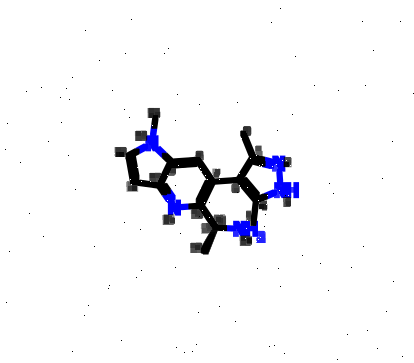 Cc1n[nH]c(C)c1-c1cc2c(ccn2C)nc1[C@H](C)N